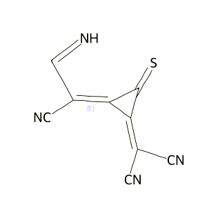 N#CC(C#N)=c1c(=S)/c1=C(/C#N)C=N